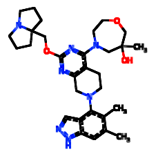 Cc1cc2[nH]ncc2c(N2CCc3c(nc(OCC45CCCN4CCC5)nc3N3CCOCC(C)(O)C3)C2)c1C